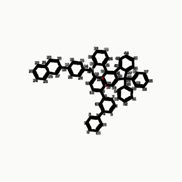 c1ccc(-c2cccc(-c3ccc(N(c4ccc(-c5ccc6ccccc6c5)cc4)c4ccccc4-c4cccc5c4-c4ccccc4C5(c4ccccc4)c4ccccc4)cc3)c2)cc1